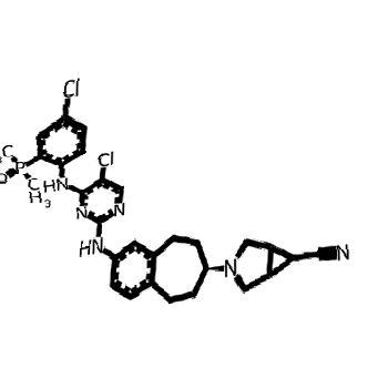 CP(C)(=O)c1cc(Cl)ccc1Nc1nc(Nc2ccc3c(c2)CC[C@@H](N2CC4C(C#N)C4C2)CC3)ncc1Cl